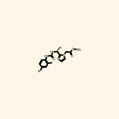 CC(C)[C@H](NC(=O)Nc1ccc(Br)cc1F)c1nccn1CC(=O)OC(C)(C)C